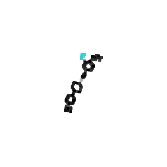 CCCc1ccc(C#C[C@H]2CC[C@H](c3ccc(CC)cc3)CC2)cc1F